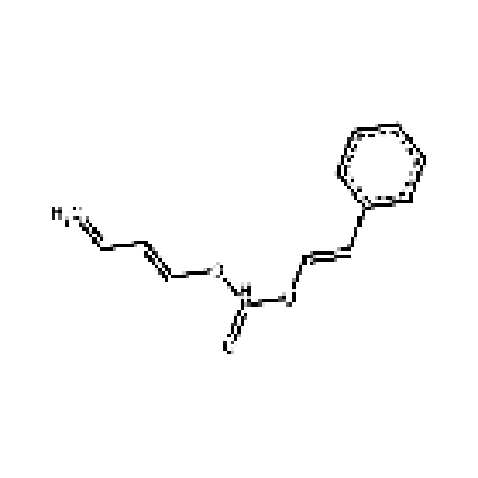 C=CC=CO[PH](=O)OC=Cc1ccccc1